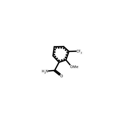 COc1c(C(N)=O)cccc1C(F)(F)F